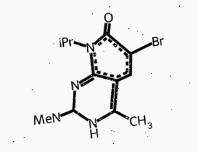 CNC1N=c2c(cc(Br)c(=O)n2C(C)C)=C(C)N1